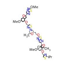 C=C(/C=C(/OCc1csc(C(C)C)n1)c1cc(-c2cn3nc(OCC[C@@H]4CN(c5nc(COc6cc(OC)cc7oc(-c8cn9nc(OC)sc9n8)cc67)cs5)C[C@H](C)O4)sc3n2)oc1C)OC